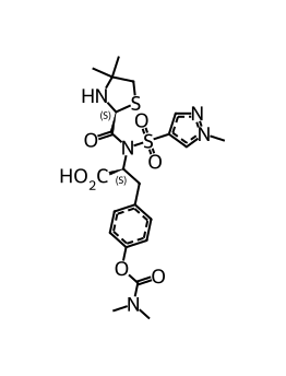 CN(C)C(=O)Oc1ccc(C[C@@H](C(=O)O)N(C(=O)[C@H]2NC(C)(C)CS2)S(=O)(=O)c2cnn(C)c2)cc1